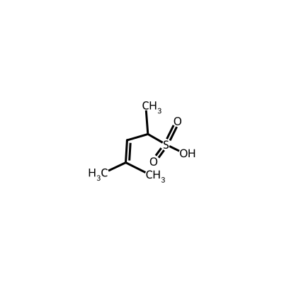 CC(C)=CC(C)S(=O)(=O)O